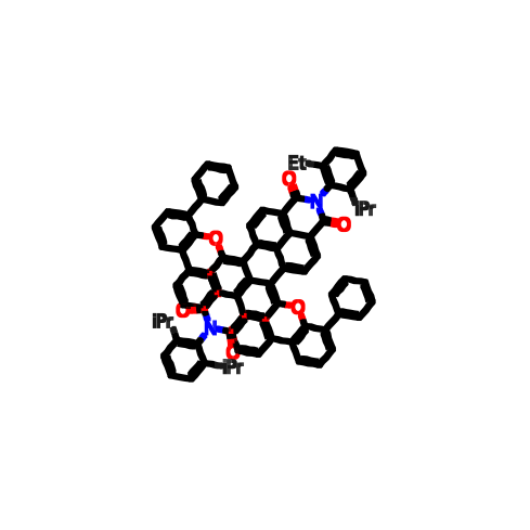 CCc1cccc(C(C)C)c1N1C(=O)c2ccc3c4c(Oc5c(-c6ccccc6)cccc5-c5ccccc5)cc5c6c(cc(Oc7c(-c8ccccc8)cccc7-c7ccccc7)c(c7ccc(c2c37)C1=O)c64)C(=O)N(c1c(C(C)C)cccc1C(C)C)C5=O